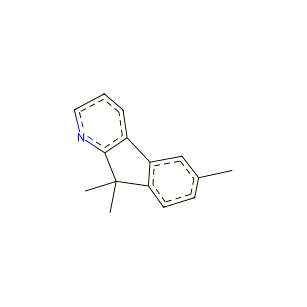 Cc1ccc2c(c1)-c1cccnc1C2(C)C